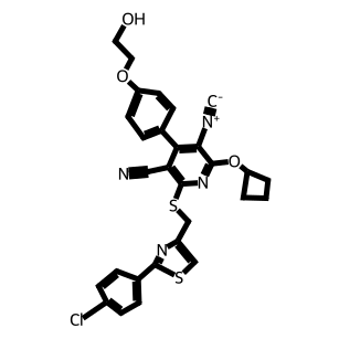 [C-]#[N+]c1c(OC2CCC2)nc(SCc2csc(-c3ccc(Cl)cc3)n2)c(C#N)c1-c1ccc(OCCO)cc1